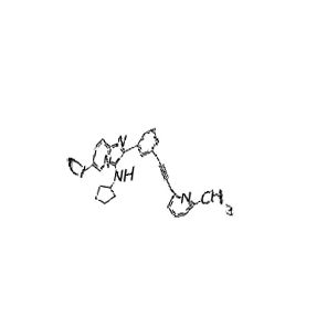 Cc1cccc(C#Cc2cccc(-c3nc4ccc(Cl)cn4c3NC3CCCC3)c2)n1